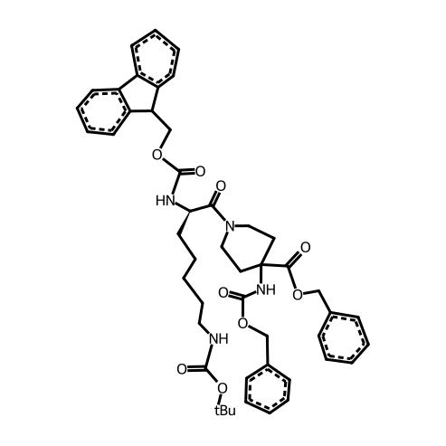 CC(C)(C)OC(=O)NCCCCC[C@@H](NC(=O)OCC1c2ccccc2-c2ccccc21)C(=O)N1CCC(NC(=O)OCc2ccccc2)(C(=O)OCc2ccccc2)CC1